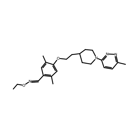 CCON=Cc1cc(C)c(OCCC2CCN(c3ccc(C)nn3)CC2)cc1C